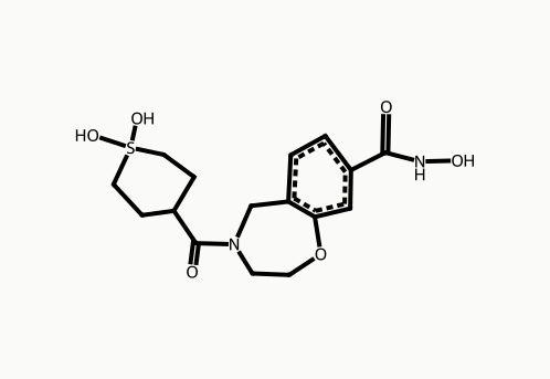 O=C(NO)c1ccc2c(c1)OCCN(C(=O)C1CCS(O)(O)CC1)C2